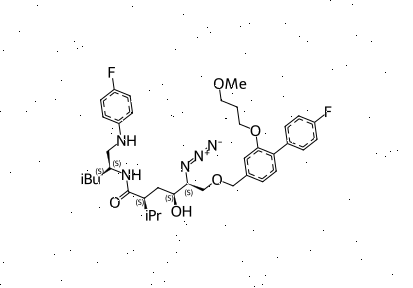 CC[C@H](C)[C@@H](CNc1ccc(F)cc1)NC(=O)[C@@H](C[C@H](O)[C@H](COCc1ccc(-c2ccc(F)cc2)c(OCCCOC)c1)N=[N+]=[N-])C(C)C